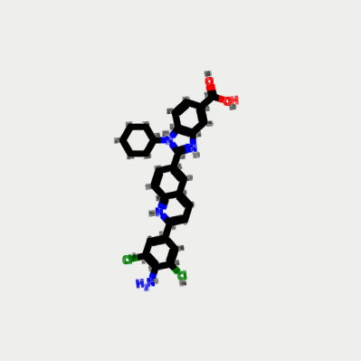 Nc1c(Cl)cc(-c2ccc3cc(-c4nc5cc(C(=O)O)ccc5n4C4CCCCC4)ccc3n2)cc1Cl